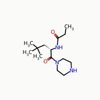 CCC(=O)N[C@@H](CC(C)(C)C)C(=O)N1CCNCC1